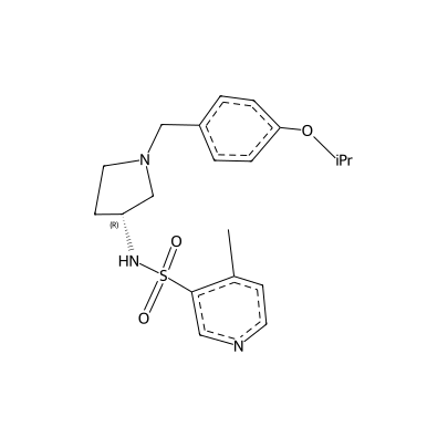 Cc1ccncc1S(=O)(=O)N[C@@H]1CCN(Cc2ccc(OC(C)C)cc2)C1